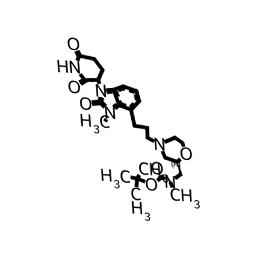 CN(C[C@H]1CN(CCCc2cccc3c2n(C)c(=O)n3C2CCC(=O)NC2=O)CCO1)C(=O)OC(C)(C)C